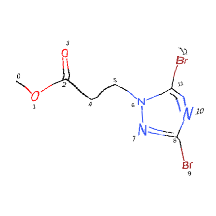 COC(=O)CCn1nc(Br)nc1Br